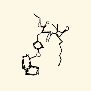 CCCCCCC1=C(N[C@@H](Cc2ccc(Oc3nccc4ccncc34)cc2)C(=O)OCC)C(C)(C)C1=O